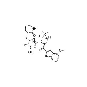 COc1cccc2[nH]c(C(=O)N3C[C@H]4[C@@H]([C@H]3C(=O)NC(C[C@@H]3CCCNC3=O)C(=O)CO)C4(C)C)cc12